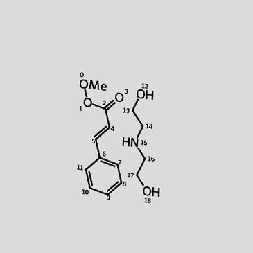 COOC(=O)C=Cc1ccccc1.OCCNCCO